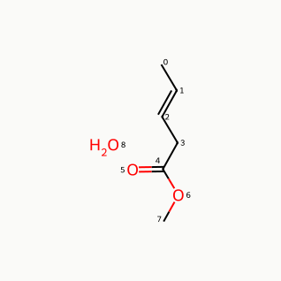 CC=CCC(=O)OC.O